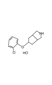 Cl.Clc1ccccc1OC1CC2CNCC2C1